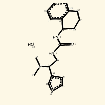 CN(C)C(CNC(=O)NC1CCCc2ccccc21)c1ccsc1.Cl